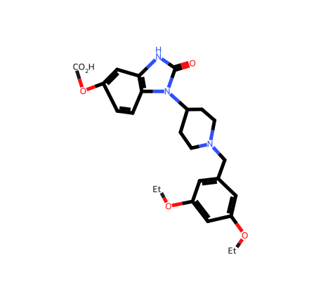 CCOc1cc(CN2CCC(n3c(=O)[nH]c4cc(OC(=O)O)ccc43)CC2)cc(OCC)c1